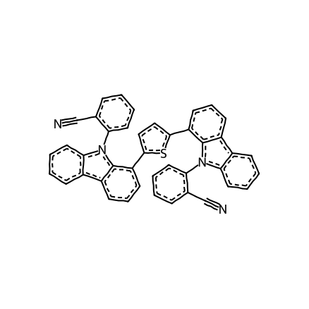 N#Cc1ccccc1-n1c2ccccc2c2cccc(-c3ccc(-c4cccc5c6ccccc6n(-c6ccccc6C#N)c45)s3)c21